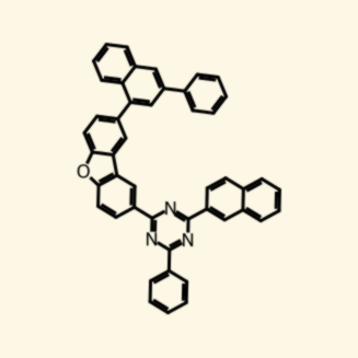 c1ccc(-c2cc(-c3ccc4oc5ccc(-c6nc(-c7ccccc7)nc(-c7ccc8ccccc8c7)n6)cc5c4c3)c3ccccc3c2)cc1